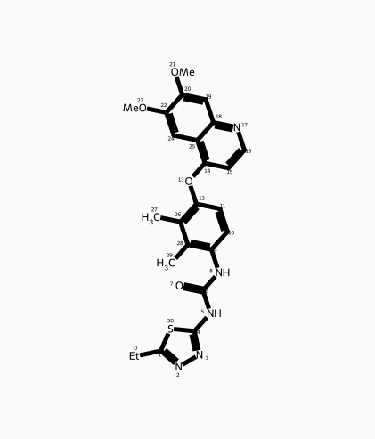 CCc1nnc(NC(=O)Nc2ccc(Oc3ccnc4cc(OC)c(OC)cc34)c(C)c2C)s1